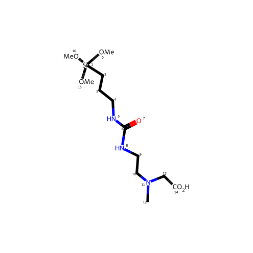 CO[Si](CCCNC(=O)NCCN(C)CC(=O)O)(OC)OC